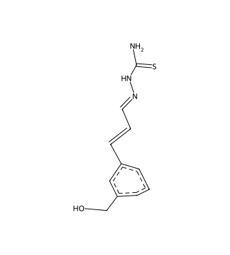 NC(=S)N/N=C/C=C/c1cccc(CO)c1